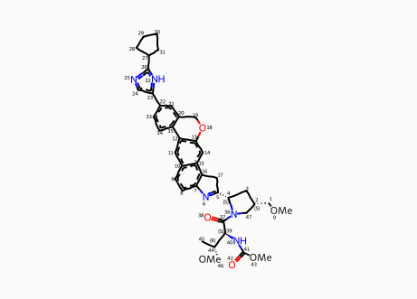 COC[C@H]1C[C@@H](C2=Nc3ccc4cc5c(cc4c3C2)OCc2cc(-c3cnc(C4CCCC4)[nH]3)ccc2-5)N(C(=O)[C@@H](NC(=O)OC)[C@@H](C)OC)C1